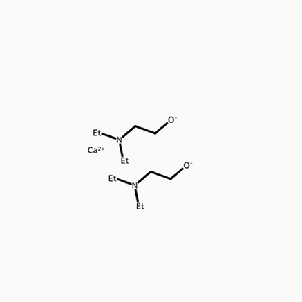 CCN(CC)CC[O-].CCN(CC)CC[O-].[Ca+2]